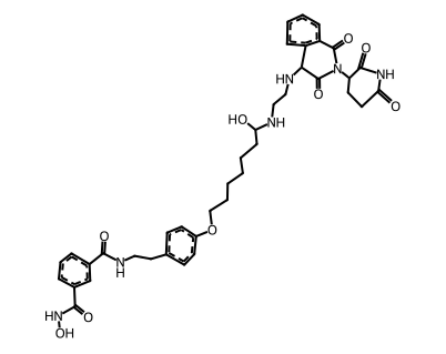 O=C1CCC(N2C(=O)c3ccccc3C(NCCNC(O)CCCCCCOc3ccc(CCNC(=O)c4cccc(C(=O)NO)c4)cc3)C2=O)C(=O)N1